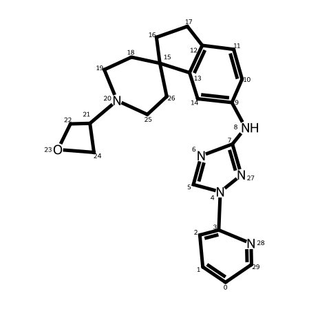 c1ccc(-n2cnc(Nc3ccc4c(c3)C3(CC4)CCN(C4COC4)CC3)n2)nc1